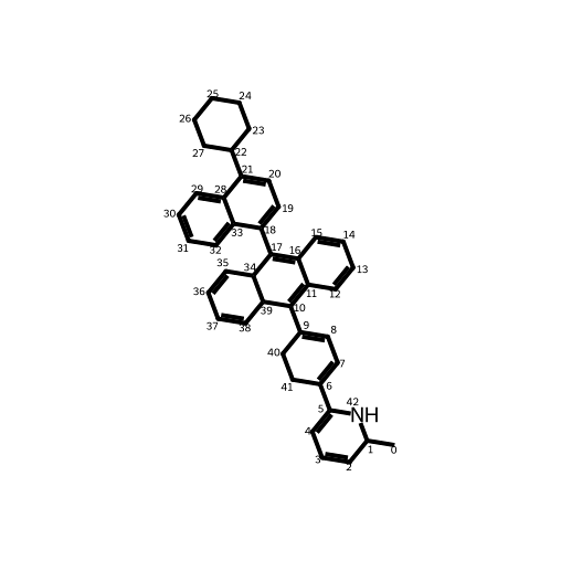 CC1C=CC=C(C2=CC=C(C3=c4ccccc4=C(c4ccc(C5CCCCC5)c5ccccc45)C4C=CC=CC34)CC2)N1